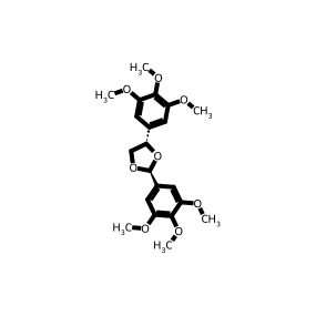 COc1cc([C@H]2OC[C@H](c3cc(OC)c(OC)c(OC)c3)O2)cc(OC)c1OC